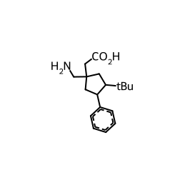 CC(C)(C)C1CC(CN)(CC(=O)O)CC1c1ccccc1